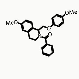 COc1ccc(OCC2c3ccc(OC)cc3CCN2C(=O)c2ccccc2)cc1